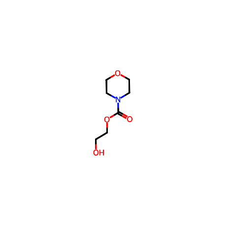 O=C(OCCO)N1CCOCC1